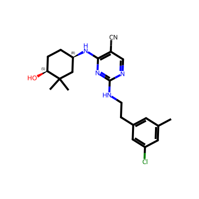 Cc1cc(Cl)cc(CCNc2ncc(C#N)c(N[C@@H]3CC[C@H](O)C(C)(C)C3)n2)c1